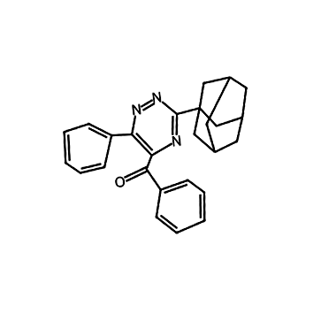 O=C(c1ccccc1)c1nc(C23CC4CC(CC(C4)C2)C3)nnc1-c1ccccc1